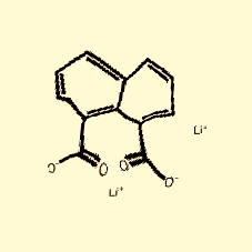 O=C([O-])c1cccc2cccc(C(=O)[O-])c12.[Li+].[Li+]